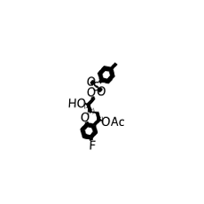 CC(=O)O[C@H]1C[C@H]([C@@H](O)COS(=O)(=O)c2ccc(C)cc2)Oc2ccc(F)cc21